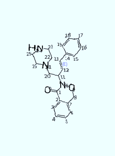 O=C1c2ccccc2CON1C(/C=C/c1ccccc1)CN1CCNCC1